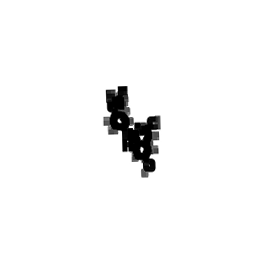 COc1ccc2c(Nc3ccc(OC(F)(F)F)cc3)nc(Cl)cc2c1